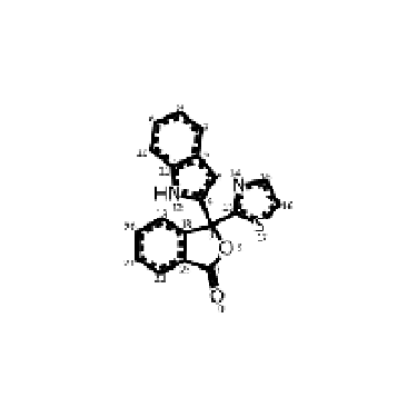 O=C1OC(c2cc3ccccc3[nH]2)(c2nccs2)c2ccccc21